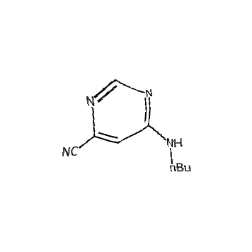 CCCCNc1cc(C#N)ncn1